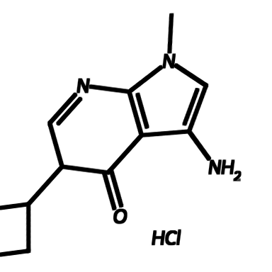 Cl.Cn1cc(N)c2c1N=CC(C1CCC1)C2=O